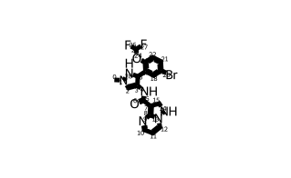 CN1C=C(NC(=O)C2=C3N=CC=CN3NC2)C(c2cc(Br)ccc2OC(F)F)N1